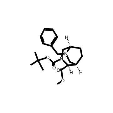 COC(=O)[C@@H]1[C@@H]2CC[C@H](CN1C(=O)OC(C)(C)C)N(Cc1ccccc1)C2